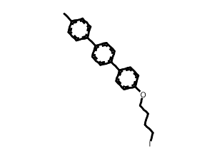 Cc1ccc(-c2ccc(-c3ccc(OCCCCI)cc3)cc2)cc1